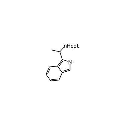 CCCCCCCC(C)C1=c2ccccc2=C[N]1